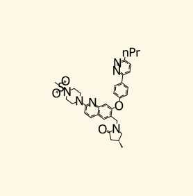 CCCc1ccc(-c2ccc(Oc3cc4nc(N5CCN(S(C)(=O)=O)CC5)ccc4cc3CN3C[C@@H](C)CC3=O)cc2)nn1